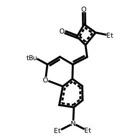 CCc1c(C=C2C=C(C(C)(C)C)Oc3cc(N(CC)CC)ccc32)c(=O)c1=O